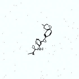 CC1COc2ccc(Oc3ccnc(NC(=O)C4CC4C)c3)cc2C1